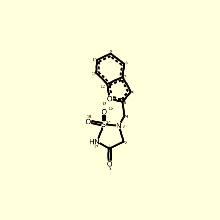 O=C1CN(Cc2cc3ccccc3o2)S(=O)(=O)N1